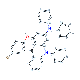 Brc1ccc2c(c1)B1c3ccccc3N(c3ccccc3)c3cc(N(c4ccccc4)c4ccccc4)cc(c31)O2